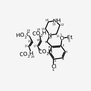 CCOc1ccc(Cl)cc1CN1CCNCC1.O=C(O)/C=C/C(=O)O.O=C(O)/C=C/C(=O)O